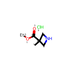 CCOC(=O)C1(C)CNC1.Cl